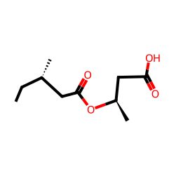 CC[C@H](C)CC(=O)O[C@H](C)CC(=O)O